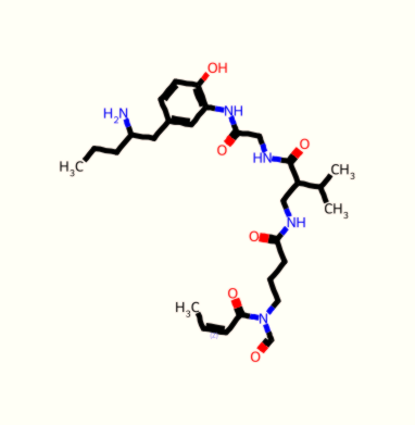 C/C=C\C(=O)N(C=O)CCCC(=O)NCC(C(=O)NCC(=O)Nc1cc(CC(N)CCC)ccc1O)C(C)C